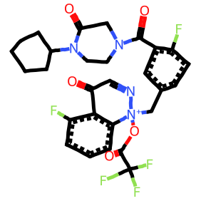 O=C1C=N[N+](Cc2ccc(F)c(C(=O)N3CCN(C4CCCCC4)C(=O)C3)c2)(OC(=O)C(F)(F)F)c2cccc(F)c21